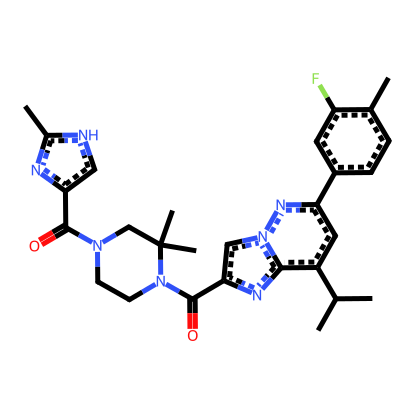 Cc1nc(C(=O)N2CCN(C(=O)c3cn4nc(-c5ccc(C)c(F)c5)cc(C(C)C)c4n3)C(C)(C)C2)c[nH]1